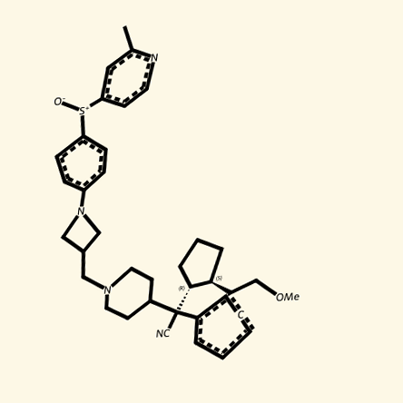 COCC[C@@H]1CCC[C@H]1C(C#N)(c1ccccc1)C1CCN(CC2CN(c3ccc([S+]([O-])c4ccnc(C)c4)cc3)C2)CC1